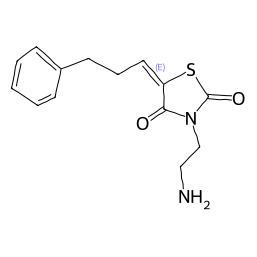 NCCN1C(=O)S/C(=C/CCc2ccccc2)C1=O